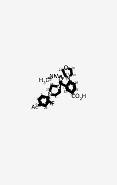 CC(=O)c1ccc(N2CCN(C(=O)c3cc(C(=O)O)ccc3N3CCOCC3)CC2)c(F)c1.CNC